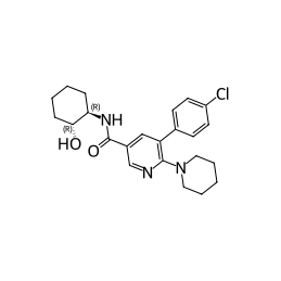 O=C(N[C@@H]1CCCC[C@H]1O)c1cnc(N2CCCCC2)c(-c2ccc(Cl)cc2)c1